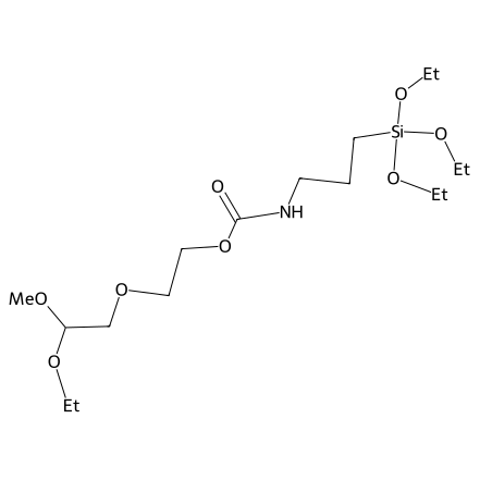 CCOC(COCCOC(=O)NCCC[Si](OCC)(OCC)OCC)OC